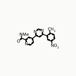 CNC(=O)c1cc(-c2cc(-c3cc([N+](=O)[O-])ccc3C)ncn2)ccn1